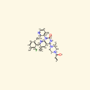 C=CC(=O)N1CCN(c2nc(=O)n(-c3c(C)ccnc3C(C)C)c3nc(-c4cccc(C)c4F)c(C#N)cc23)[C@@H](C)C1